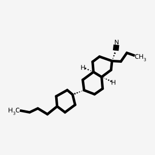 CCCCC1CCC([C@H]2CC[C@@H]3C[C@](C#N)(CCC)CC[C@@H]3C2)CC1